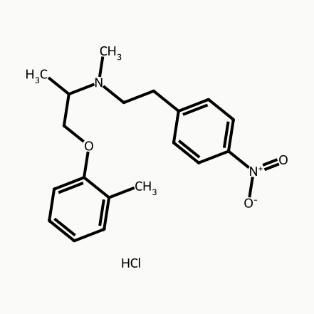 Cc1ccccc1OCC(C)N(C)CCc1ccc([N+](=O)[O-])cc1.Cl